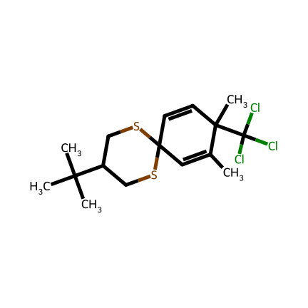 CC1=CC2(C=CC1(C)C(Cl)(Cl)Cl)SCC(C(C)(C)C)CS2